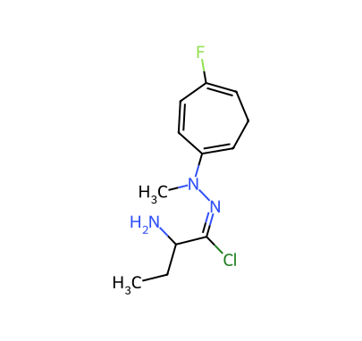 CCC(N)/C(Cl)=N\N(C)C1=CCC=C(F)C=C1